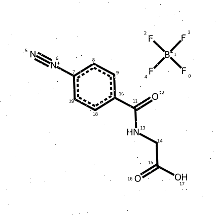 F[B-](F)(F)F.N#[N+]c1ccc(C(=O)NCC(=O)O)cc1